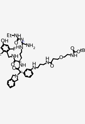 CCNC(=O)/N=C(/N)NCCC[C@@H](NC(=O)[C@H](c1cccc(NCCCNC(=O)CCOCCNC(=O)OC(C)(C)C)c1)N1Cc2ccccc2C1)C(=O)NCc1c(F)cc(O)cc1F